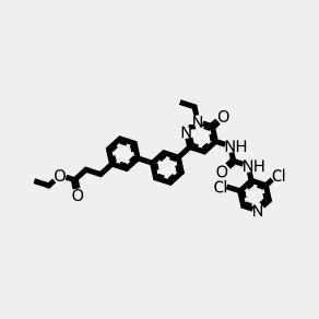 CCOC(=O)CCc1cccc(-c2cccc(-c3cc(NC(=O)Nc4c(Cl)cncc4Cl)c(=O)n(CC)n3)c2)c1